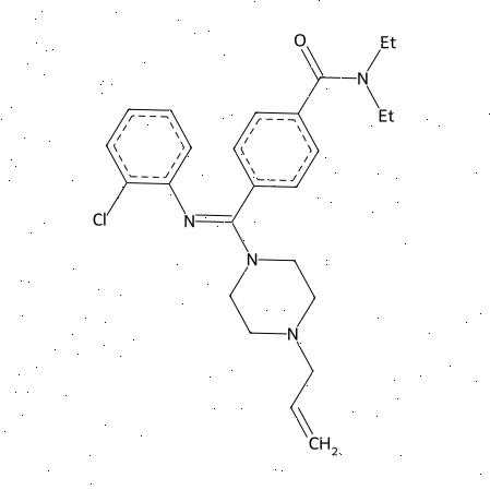 C=CCN1CCN(C(=Nc2ccccc2Cl)c2ccc(C(=O)N(CC)CC)cc2)CC1